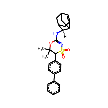 CC1(C)OC(N[C@H]2C3CC4=CC(C3)CC42)=NS(=O)(=O)C1c1ccc(-c2ccccc2)cc1